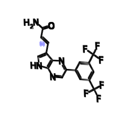 NC(=O)/C=C/c1c[nH]c2ncc(-c3cc(C(F)(F)F)cc(C(F)(F)F)c3)nc12